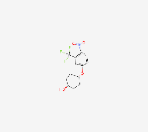 O=[N+]([O-])c1ccc(O[C@H]2CC[C@H](O)CC2)cc1C(F)(F)F